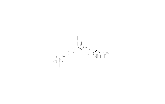 Cn1nc(OC(F)(F)Cl)cc1C(=O)Nc1cc([C@H]2C[C@@H](OC(=O)NC3(C)CC3)CO2)[nH]n1